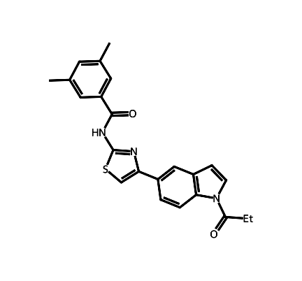 CCC(=O)n1ccc2cc(-c3csc(NC(=O)c4cc(C)cc(C)c4)n3)ccc21